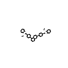 CCn1c(-c2ccc(-c3ccc4c(-c5ccc(-c6nc7ccccc7n6CC)cc5)cccc4c3)cc2)nc2ccccc21